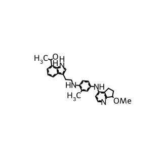 COC1CCc2c(Nc3ccc(NCCc4c[nH]c5c(C(C)O)cccc45)c(C)c3)ccnc21